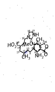 COc1c(C)c2c(c(N)c1C/C=C(\C)CC(CCN1CCNC1)C(=O)O)C(=O)OC2